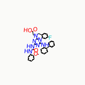 COc1ccccc1NC(=O)Nc1nc(Nc2ccccc2-c2ccccc2)nc(N(CC(=O)O)Cc2ccc(F)cc2)n1